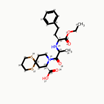 CCOC(=O)[C@H](CCc1ccccc1)NC(C)C(=O)N1CCC2(C[C@H]1C(=O)O)SCCCS2